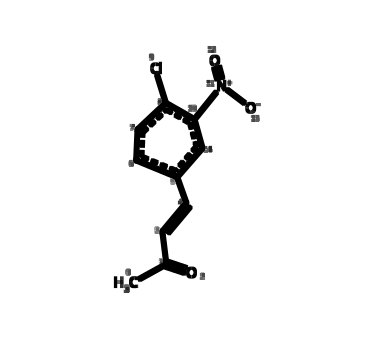 CC(=O)C=Cc1ccc(Cl)c([N+](=O)[O-])c1